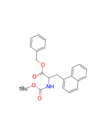 CC(C)(C)OC(=O)NC(Cc1cccc2ccccc12)C(=O)OCc1ccccc1